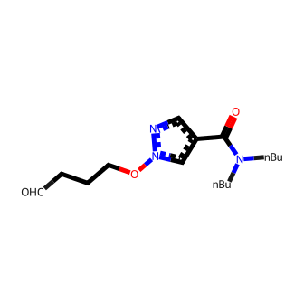 CCCCN(CCCC)C(=O)c1cnn(OCCCC=O)c1